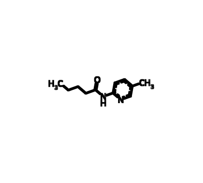 CCCCC(=O)Nc1ccc(C)cn1